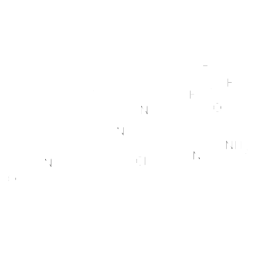 CC1C(c2cnc(N)c(OC(F)(F)F)c2)N=C(C2CC2)N1C1CCC(N2CCOCC2)CC1